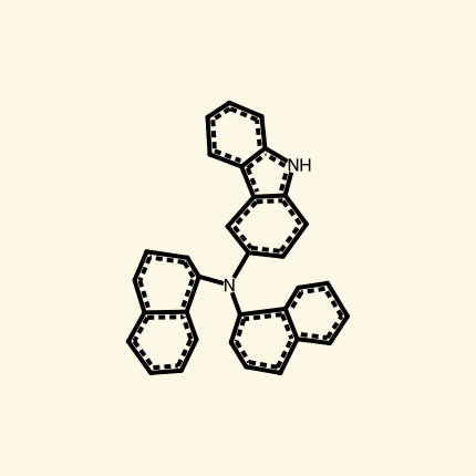 c1ccc2c(N(c3ccc4[nH]c5ccccc5c4c3)c3cccc4ccccc34)cccc2c1